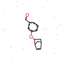 O=Cc1cccc(OC2CC3C=CC2C3)c1